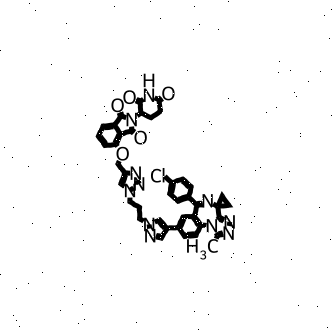 Cc1nnc2n1-c1ccc(-c3cnn(CCCn4cc(COc5cccc6c5C(=O)N(C5CCC(=O)NC5=O)C6=O)nn4)c3)cc1C(c1ccc(Cl)cc1)=NC21CC1